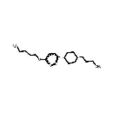 CCCCCOc1ccc([C@H]2CC[C@H](CCCC)CC2)nn1